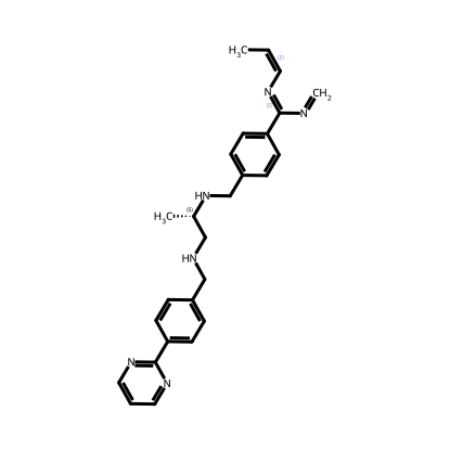 C=N/C(=N\C=C/C)c1ccc(CN[C@@H](C)CNCc2ccc(-c3ncccn3)cc2)cc1